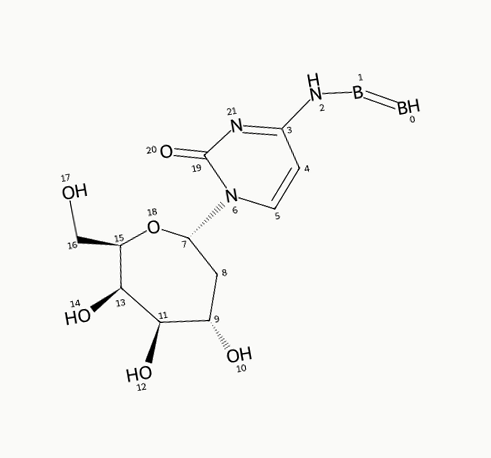 B=BNc1ccn([C@@H]2C[C@H](O)[C@@H](O)[C@@H](O)[C@@H](CO)O2)c(=O)n1